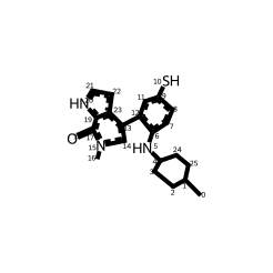 CC1CCC(Nc2ccc(S)cc2-c2cn(C)c(=O)c3[nH]ccc23)CC1